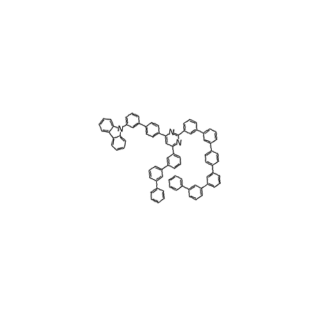 c1ccc(-c2cccc(-c3cccc(-c4ccc(-c5cccc(-c6cccc(-c7nc(-c8ccc(-c9cccc(-n%10c%11ccccc%11c%11ccccc%11%10)c9)cc8)cc(-c8cccc(-c9cccc(-c%10ccccc%10)c9)c8)n7)c6)c5)cc4)c3)c2)cc1